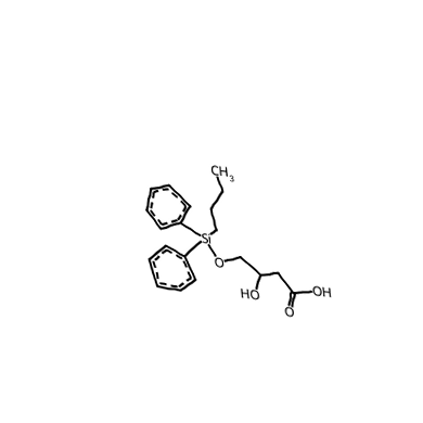 CCCC[Si](OCC(O)CC(=O)O)(c1ccccc1)c1ccccc1